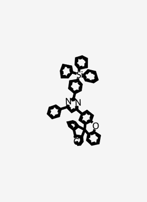 c1ccc(-c2cc(-c3ccc4c(c3)C3(c5ccccc5O4)c4ccccc4-c4ccccc43)nc(-c3ccc([Si](c4ccccc4)(c4ccccc4)c4ccccc4)cc3)n2)cc1